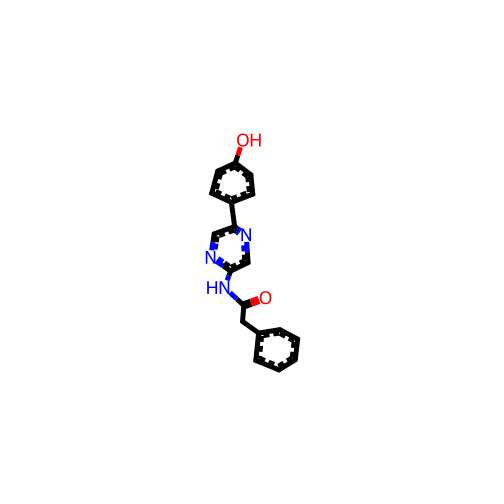 O=C(Cc1ccccc1)Nc1cnc(-c2ccc(O)cc2)cn1